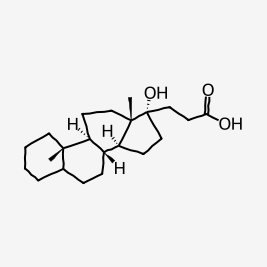 C[C@]12CCCCC1CC[C@@H]1[C@@H]2CC[C@@]2(C)[C@H]1CC[C@]2(O)CCC(=O)O